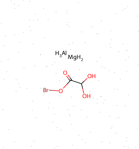 O=C(OBr)C(O)O.[AlH3].[MgH2]